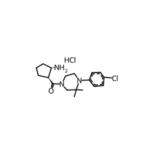 CC1(C)CN(C(=O)[C@H]2CCC[C@@H]2N)CCN1c1ccc(Cl)cc1.Cl